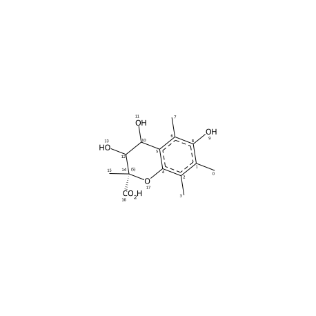 Cc1c(C)c2c(c(C)c1O)C(O)C(O)[C@@](C)(C(=O)O)O2